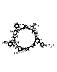 Cc1sc2nc1C(=O)N[C@@H]([C@H](O)c1ccccc1)c1nc(cs1)C(=O)N[C@@H](Cc1ccc(O)cc1)C(=O)N1C[C@H](O)[C@H](C)[C@H]1c1nc(cs1)-c1nc(cs1)-c1nc(-c3nc(C(=O)O)cs3)ccc1-c1nc(cs1)C(=O)N[C@H]2CC(N)=O